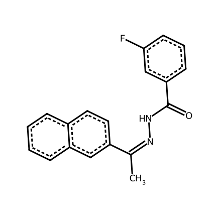 C/C(=N/NC(=O)c1cccc(F)c1)c1ccc2ccccc2c1